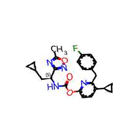 Cc1nc([C@H](CC2CC2)NC(=O)Oc2ccc(C3CC3)c(Cc3ccc(F)cc3)n2)no1